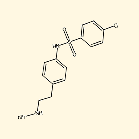 CCCNCCc1ccc(NS(=O)(=O)c2ccc(Cl)cc2)cc1